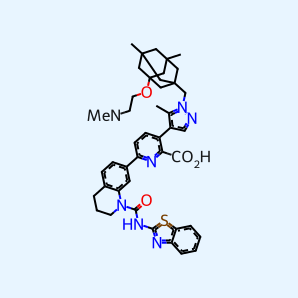 CNCCOC12CC3(C)CC(C)(CC(Cn4ncc(-c5ccc(-c6ccc7c(c6)N(C(=O)Nc6nc8ccccc8s6)CCC7)nc5C(=O)O)c4C)(C3)C1)C2